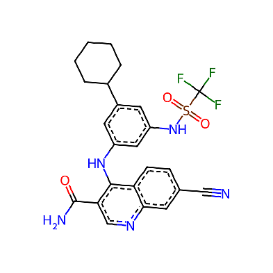 N#Cc1ccc2c(Nc3cc(NS(=O)(=O)C(F)(F)F)cc(C4CCCCC4)c3)c(C(N)=O)cnc2c1